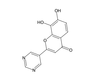 O=c1cc(-c2cncnc2)oc2c(O)c(O)ccc12